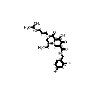 CCN1CN(CCCOC(C)C)C(=O)c2c(O)c(=O)c(C(=O)NCc3ccc(F)cc3F)cn21